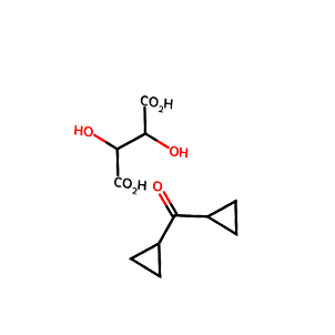 O=C(C1CC1)C1CC1.O=C(O)C(O)C(O)C(=O)O